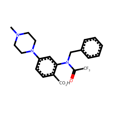 CN1CCN(c2ccc(C(=O)O)c(N(Cc3ccccc3)C(=O)C(F)(F)F)c2)CC1